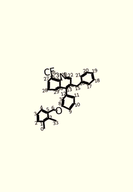 Cc1cccc(COc2cccc(-c3c(Cc4ccccc4)cnc4c(C(F)(F)F)cccc34)c2)c1C